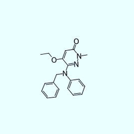 CCOc1cc(=O)n(C)nc1N(Cc1ccccc1)c1ccccc1